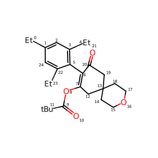 CCc1cc(CC)c(C2=C(OC(=O)C(C)(C)C)CC3(CCOCC3)CC2=O)c(CC)c1